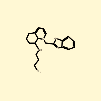 NCCCNC1CCCC2=CC=CN(Cc3nc4ccccc4[nH]3)C21